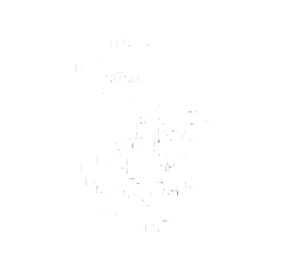 CSCCC(NC(=O)[C@H](CCC(N)=O)NC(=O)C(CC(N)=O)NC(=O)[C@H](Cc1c[nH]c2ccccc12)NC(=O)[C@@H](NC(=O)[C@H](Cc1ccc(O)cc1)NC(=O)C(N)CSSCC(NC(=O)CCC(N)OC=O)C(=O)NCC(=O)O)[C@@H](C)O)C(=O)N[C@@H](CC(N)=O)C(=O)NC(CC(C)C)C(=O)O